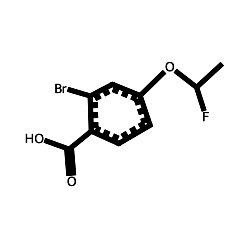 CC(F)Oc1ccc(C(=O)O)c(Br)c1